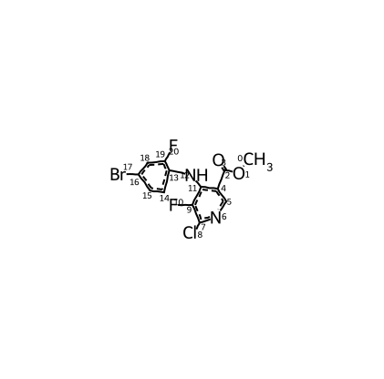 COC(=O)c1cnc(Cl)c(F)c1Nc1ccc(Br)cc1F